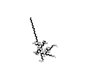 CCCCCCCCCCCCCCCCCC(=O)NC(CS)C(=O)NC(Cc1cnc[nH]1)C(=O)NC(Cc1cnc[nH]1)C(=O)NC(CCCCN)C(=O)NC(CCCCN)C(=O)NC(CCCCN)C(=O)O